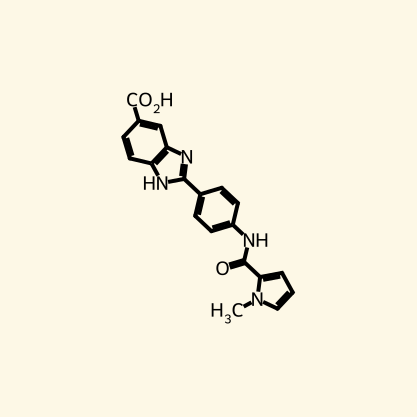 Cn1cccc1C(=O)Nc1ccc(-c2nc3cc(C(=O)O)ccc3[nH]2)cc1